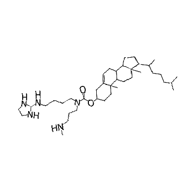 CNCCCN(CCCCNC1NCCN1)C(=O)OC1CCC2(C)C(=CCC3C2CCC2(C)C(C(C)CCCC(C)C)CCC32)C1